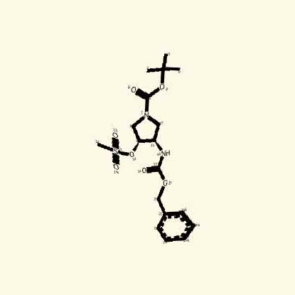 CC(C)(C)OC(=O)N1C[C@H](OS(C)(=O)=O)[C@H](NC(=O)OCc2ccccc2)C1